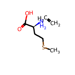 C=C.CSCC[C@H](N)C(=O)O